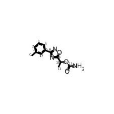 Cc1cccc(-c2noc(C(C)OC(N)=O)n2)c1